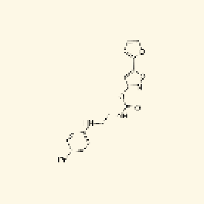 CC(C)c1ccc(NCCNC(=O)Oc2cc(-c3ccco3)on2)cc1